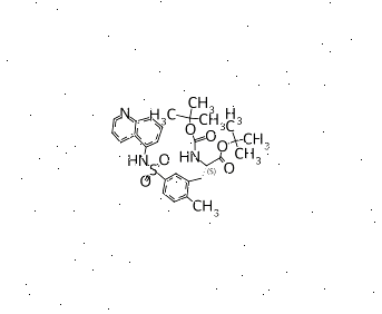 Cc1ccc(S(=O)(=O)Nc2cccc3ncccc23)cc1C[C@H](NC(=O)OC(C)(C)C)C(=O)OC(C)(C)C